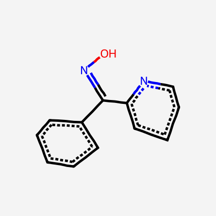 ON=C(c1ccccc1)c1ccccn1